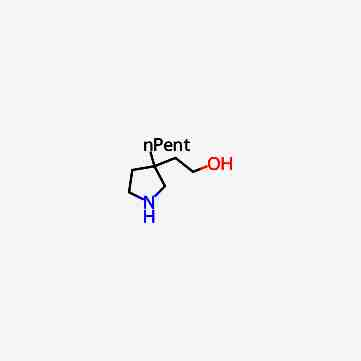 CCCCCC1(CCO)CCNC1